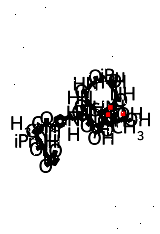 CC[C@H](C)[C@@H]1NC(=O)CNC(=O)[C@H]2Cc3c([nH]c4ccccc34)SCC(NC(=O)CNC1=O)C(=O)N[C@@H](CC(=O)NCc1ccc(NC(=O)[C@H](C)NC(=O)C(NC(=O)CCN3C(=O)C=CC3=O)C(C)C)cc1)C(=O)N1C[C@H](O)C[C@H]1C(=O)N[C@@H]([C@@H](C)[C@@H](O)CO)C(=O)N2